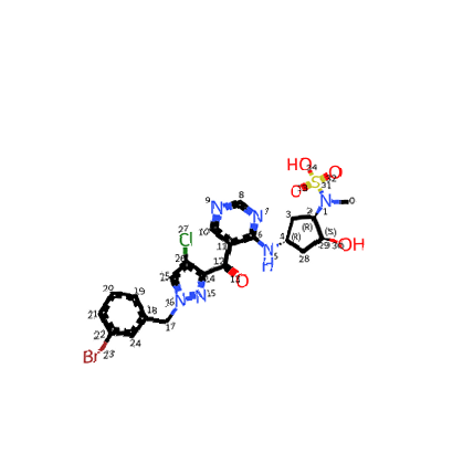 CN([C@@H]1C[C@@H](Nc2ncncc2C(=O)c2nn(Cc3cccc(Br)c3)cc2Cl)C[C@@H]1O)S(=O)(=O)O